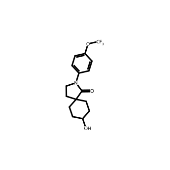 O=C1N(c2ccc(OC(F)(F)F)cc2)CCC12CCC(O)CC2